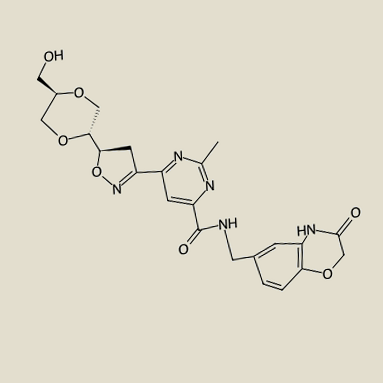 Cc1nc(C(=O)NCc2ccc3c(c2)NC(=O)CO3)cc(C2=NO[C@@H]([C@H]3CO[C@H](CO)CO3)C2)n1